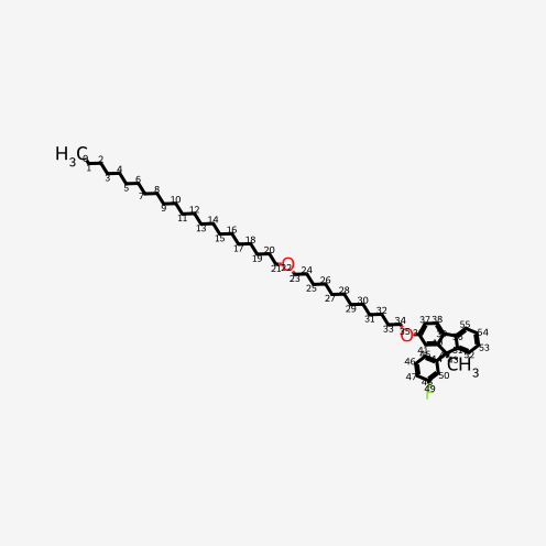 CCCCCCCCCCCCCCCCCCCCCCOCCCCCCCCCCCCOc1ccc2c(c1)C(C)(c1cccc(F)c1)c1ccccc1-2